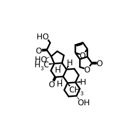 C[C@]12CC[C@@H](O)C[C@H]1CC[C@@H]1[C@@H]2C(=O)C[C@@]2(C)[C@H]1CC[C@]2(O)C(=O)CO.O=C1OCC2C3C=CC(O3)C12